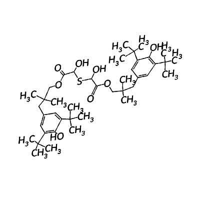 CC(C)(COC(=O)C(O)SC(O)C(=O)OCC(C)(C)Cc1cc(C(C)(C)C)c(O)c(C(C)(C)C)c1)Cc1cc(C(C)(C)C)c(O)c(C(C)(C)C)c1